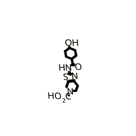 O=C(Nc1nc2c(s1)CN(C(=O)O)CC2)C1CCC(O)CC1